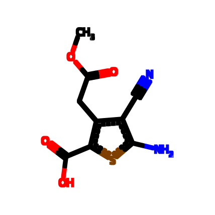 COC(=O)Cc1c(C(=O)O)sc(N)c1C#N